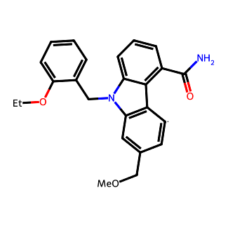 CCOc1ccccc1Cn1c2cc(COC)c[c]c2c2c(C(N)=O)cccc21